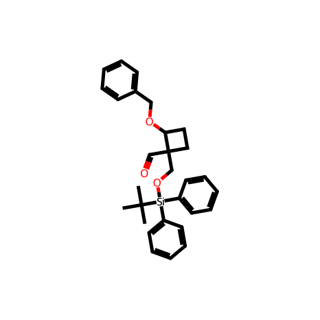 CC(C)(C)[Si](OCC1(C=O)CCC1OCc1ccccc1)(c1ccccc1)c1ccccc1